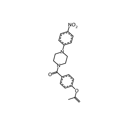 C=C(C)Oc1ccc(C(=O)N2CCN(c3ccc([N+](=O)[O-])cc3)CC2)cc1